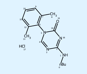 CCCCNc1ncn(-c2c(C)cccc2C)c(=O)n1.Cl